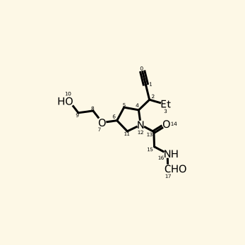 C#CC(CC)C1CC(OCCO)CN1C(=O)CNC=O